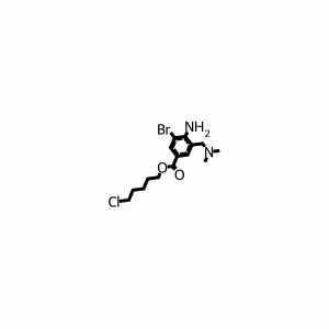 CN(C)Cc1cc(C(=O)OCCCCCCl)cc(Br)c1N